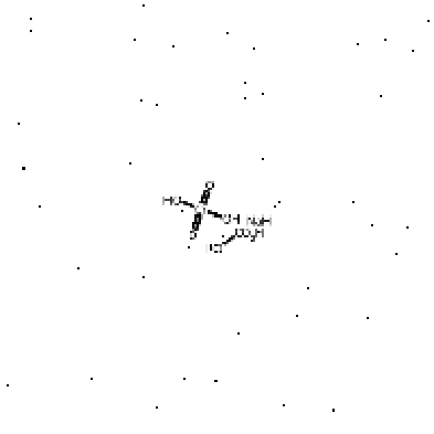 O=C(O)O.[NaH].[O]=[Cr](=[O])([OH])[OH]